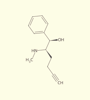 C#CCC[C@@H](NC)[C@H](O)c1ccccc1